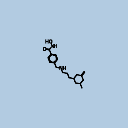 C=C1CC(C)CC(CCCNCc2ccc(C(=O)NO)cc2)C1